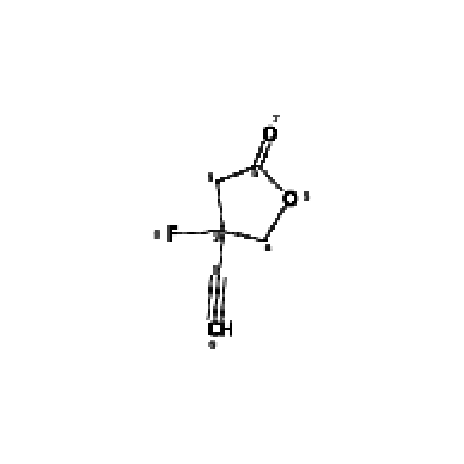 C#CC1(F)COC(=O)C1